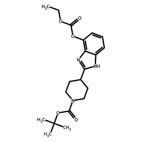 CCOC(=O)Oc1cccc2[nH]c(C3CCN(C(=O)OC(C)(C)C)CC3)nc12